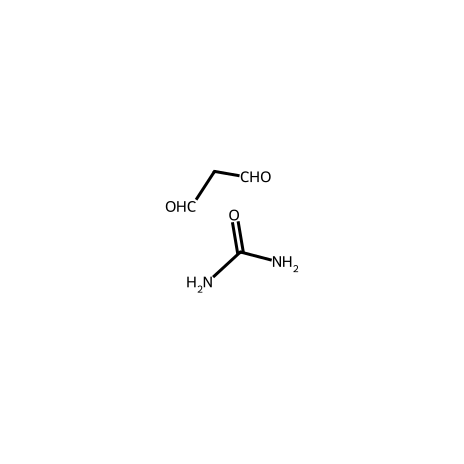 NC(N)=O.O=CCC=O